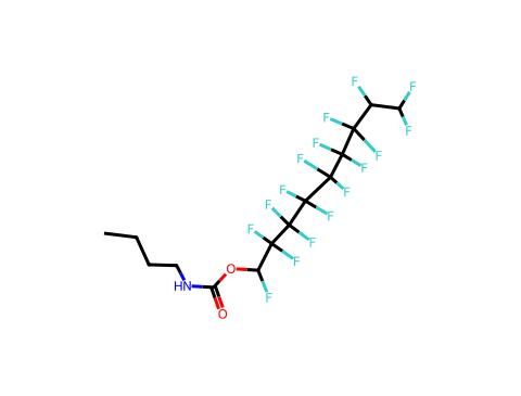 CCCCNC(=O)OC(F)C(F)(F)C(F)(F)C(F)(F)C(F)(F)C(F)(F)C(F)(F)C(F)C(F)F